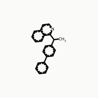 CC(c1ccc(-c2ccccc2)cc1)c1nccc2ccccc12